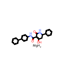 O=C(Nc1ccc(-c2ccccc2)cc1)C1=C(O)CC(c2ccccc2)NC1=O.[MgH2]